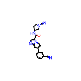 N#Cc1cccc(-c2ccn3c(C(=O)NC4CCN(C#N)C4)cnc3c2)c1